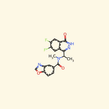 CC(c1n[nH]c(=O)c2cc(F)c(F)cc12)N(C)C(=O)c1ccc2ocnc2c1